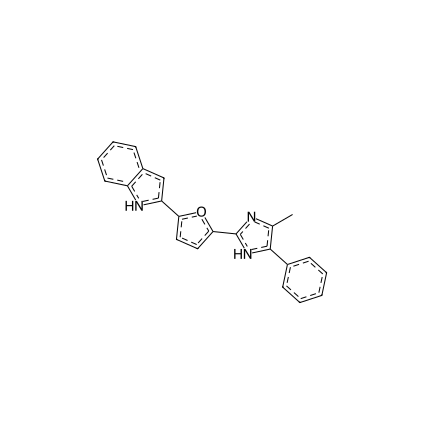 Cc1nc(-c2ccc(-c3cc4ccccc4[nH]3)o2)[nH]c1-c1ccccc1